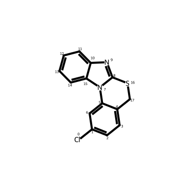 Clc1ccc2c(c1)-n1c(nc3ccccc31)SC2